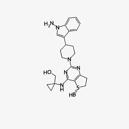 B=S1CCc2nc(N3CCC(c4cn(N)c5ccccc45)CC3)nc(NC3(CO)CC3)c21